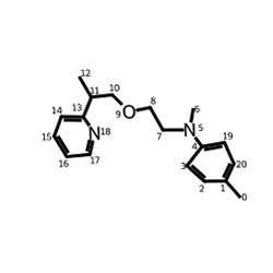 Cc1ccc(N(C)CCOCC(C)c2ccccn2)cc1